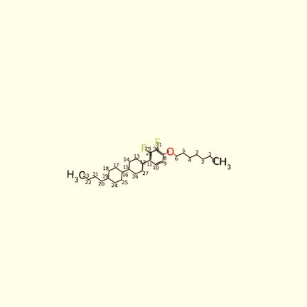 CCCCCCCOc1ccc(C2CCC(C3CCC(CCCC)CC3)CC2)c(F)c1F